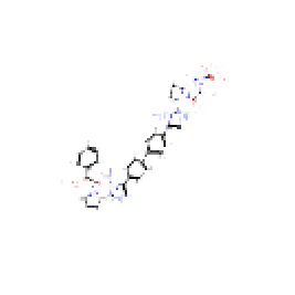 C[C@@H](C(=O)N1CCC[C@H]1c1ncc(-c2ccc(-c3ccc(-c4cnc([C@@H]5CCCN5C(=O)[C@H](O)c5ccccc5)[nH]4)cc3)cc2)[nH]1)N(C)C(=O)O